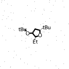 CC[C@H]1O[C@@H](C(C)(C)C)CC1OC(C)(C)C